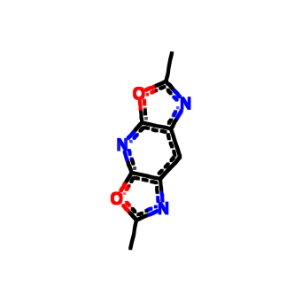 Cc1nc2cc3nc(C)oc3nc2o1